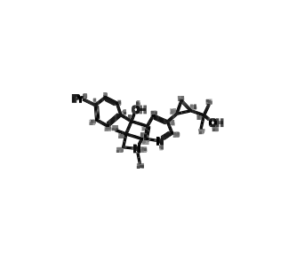 CC(C)c1ccc(C(O)(c2cncc(C3CC3C(C)(C)O)c2)C2(C)CN(C)C2)cc1